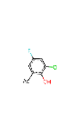 CC(=O)c1cc(F)cc(Cl)c1O